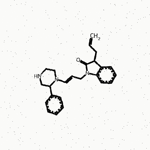 C=CCC1C(=O)N(CC=CN2CCNCC2c2ccccc2)c2ccccc21